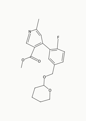 COC(=O)c1cnc(C)cc1-c1cc(COC2CCCCO2)ccc1F